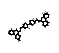 C(=Cc1cc2ccccc2c2ccccc12)c1ccc(-c2ccc(C=Cc3cc4ccccc4c4ccccc34)cc2)cc1